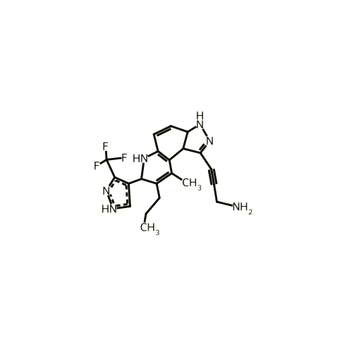 CCCC1=C(C)C2=C(C=CC3NN=C(C#CCN)C23)NC1c1c[nH]nc1C(F)(F)F